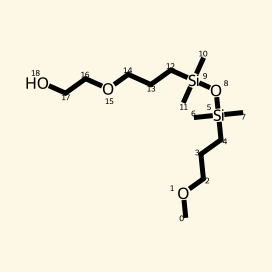 COCCC[Si](C)(C)O[Si](C)(C)CCCOCCO